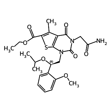 CCOC(=O)c1sc2c(c1C)c(=O)n(CC(N)=O)c(=O)n2C[C@H](OC(C)C)c1ccccc1OC